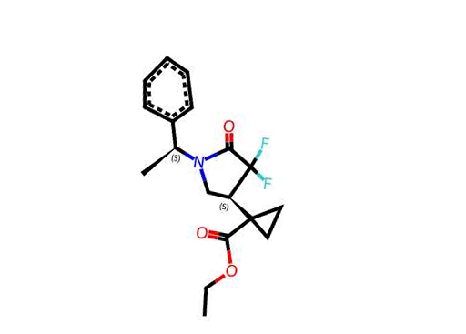 CCOC(=O)C1([C@H]2CN([C@@H](C)c3ccccc3)C(=O)C2(F)F)CC1